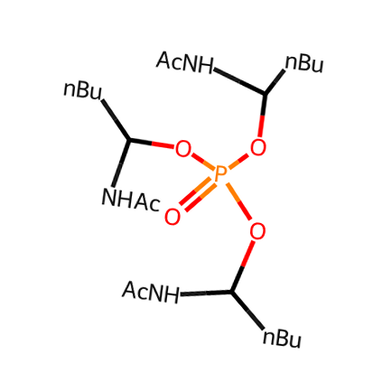 CCCCC(NC(C)=O)OP(=O)(OC(CCCC)NC(C)=O)OC(CCCC)NC(C)=O